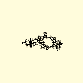 CCc1ccncc1-c1c2c3cc(ccc3n1CC)-c1cc(O)cc(c1)C[C@H](NC(=O)[C@H](C(C)C)N(C)C(=O)[C@H]1CCN(S(=O)(=O)N3C[C@H]3C(=O)OC)C1)C(=O)N1CCC[C@H](N1)C(=O)OCC(C)(C)C2